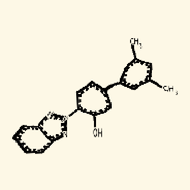 Cc1cc(C)cc(-c2ccc(-n3nc4ccccc4n3)c(O)c2)c1